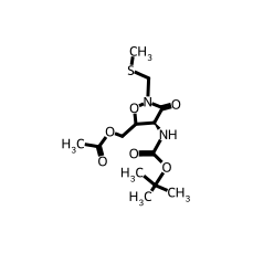 CSCN1OC(COC(C)=O)[C@H](NC(=O)OC(C)(C)C)C1=O